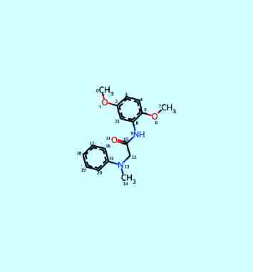 COc1ccc(OC)c(NC(=O)CN(C)c2ccccc2)c1